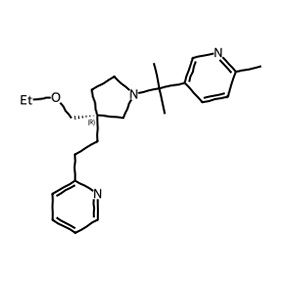 CCOC[C@]1(CCc2ccccn2)CCN(C(C)(C)c2ccc(C)nc2)C1